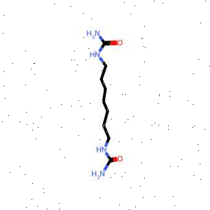 NC(=O)NCCCCCCCNC(N)=O